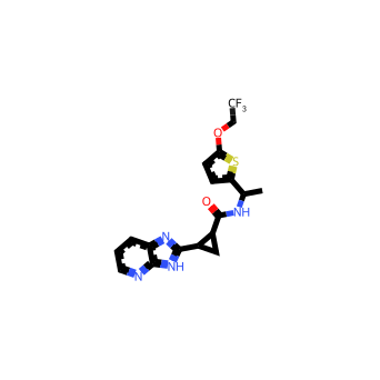 CC(NC(=O)C1CC1c1nc2cccnc2[nH]1)c1ccc(OCC(F)(F)F)s1